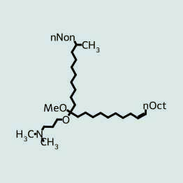 CCCCCCCC/C=C\CCCCCCCCC(CCCCCCCCC(C)CCCCCCCCC)(OC)OCCCN(C)C